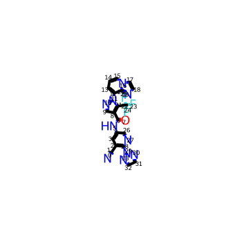 N#Cc1cc(NC(=O)c2cnn(-c3cccn4ccnc34)c2C(F)(F)F)cnc1-n1nccn1